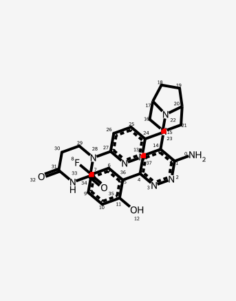 Nc1nnc(-c2cc(F)ccc2O)cc1N1CC2CCC(C1)N2Cc1ccc(N2CCC(=O)NC2=O)nn1